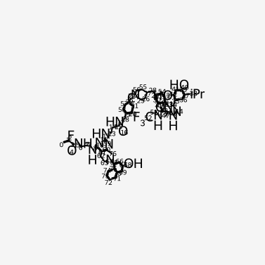 C=C(F)C(=O)NCCNc1nc(NCCC(=O)NCc2ccc(CN3CCC(Cc4ccc(N5C(c6cc(C(C)C)c(O)cc6O)=NNC5(C)C(=O)NCC(F)(F)F)cc4)CC3)cc2)nc2c1CCN(c1cc(O)cc3ccccc13)C2